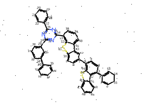 C1=CC(c2ccc(-c3ccc4sc5c(-c6nc(-c7ccccc7)nc(-c7cccc(-c8ccccc8)c7)n6)cccc5c4c3)c3sc4ccccc4c23)=CCC1